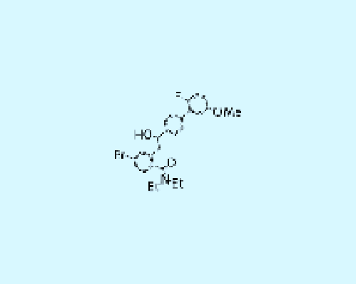 CCN(CC)C(=O)c1ccc(Br)cc1CC(O)c1ccc(-c2cc(OC)ccc2F)cc1